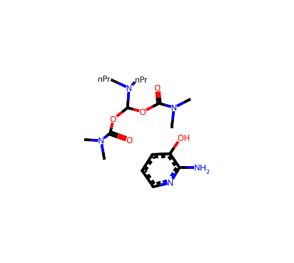 CCCN(CCC)C(OC(=O)N(C)C)OC(=O)N(C)C.Nc1ncccc1O